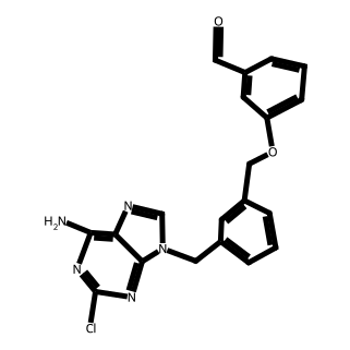 Nc1nc(Cl)nc2c1ncn2Cc1cccc(COc2cccc(C=O)c2)c1